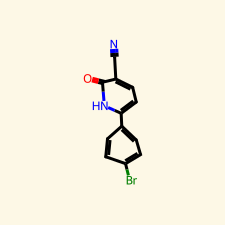 N#Cc1ccc(-c2ccc(Br)cc2)[nH]c1=O